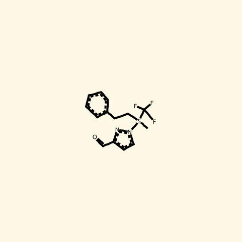 CS(CCc1ccccc1)(n1ccc(C=O)n1)C(F)(F)F